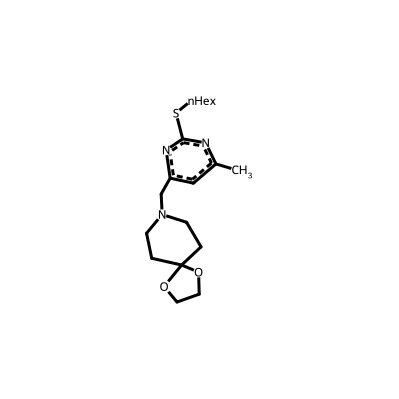 CCCCCCSc1nc(C)cc(CN2CCC3(CC2)OCCO3)n1